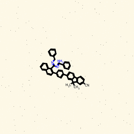 CC1(C)c2cc(C#N)ccc2-c2ccc(-c3ccc(-c4ccc5ccccc5c4C(/N=C(\N)c4ccccc4)=N/Cc4ccccc4)cc3)cc21